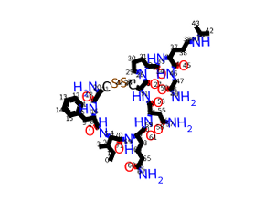 CCC(C)C1NC(=O)C(Cc2ccccc2)NC(=O)C(N)CSSCC(C(=O)N2CCCC2C(=O)NC(CCCNC(C)C)C(=O)NCC(N)=O)NC(=O)C(CC(N)=O)NC(=O)C(CCCC(N)=O)NC1=O